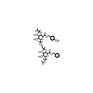 CC(C)OC(C)(C)[C@@H]1OC(C(=O)OCc2ccccc2)[C@@H](OC(C)(C)CCOC(C)(C)[C@@H]2OC(C(=O)OCc3ccc(O)cc3)[C@@H](OC(C)(C)C(C)C)[C@H](O)[C@@H]2O)[C@H](O)[C@@H]1O